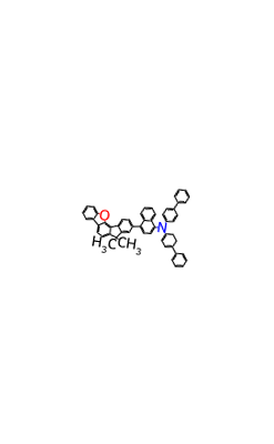 CC1(C)c2cc(-c3ccc(N(C4=CC=C(c5ccccc5)CC4)c4ccc(-c5ccccc5)cc4)c4ccccc34)ccc2-c2c1ccc1c2oc2ccccc21